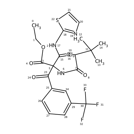 CCOC(=O)C(NC(=O)C(Cl)C(C)(C)C)(C(=O)Nc1nccs1)C(=O)c1cccc(C(F)(F)F)c1